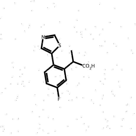 CC(C(=O)O)c1cc(F)ccc1-c1cncs1